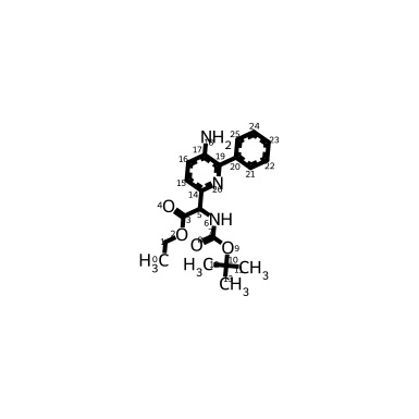 CCOC(=O)C(NC(=O)OC(C)(C)C)c1ccc(N)c(-c2ccccc2)n1